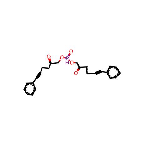 O=C(CCC#Cc1ccccc1)CO[PH](=O)OCC(=O)CCC#Cc1ccccc1